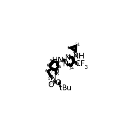 CC(C)(C)OC(=O)N1CCc2ccc(Nc3ncc(C(F)(F)F)c(NC4CC4)n3)cc2C1